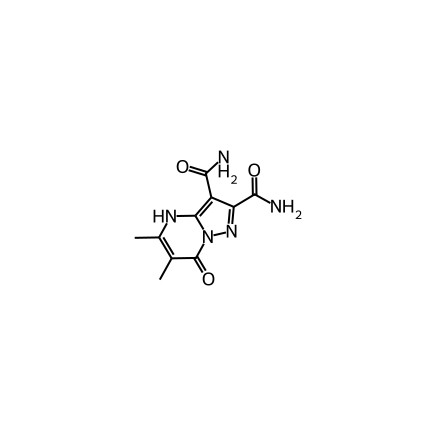 Cc1[nH]c2c(C(N)=O)c(C(N)=O)nn2c(=O)c1C